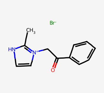 Cc1[nH]cc[n+]1CC(=O)c1ccccc1.[Br-]